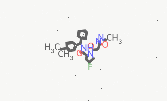 Cc1nnc(CC(=O)N2CC(F)CC2C(=O)NC(c2ccccc2)c2ccc(C(C)C)cc2)o1